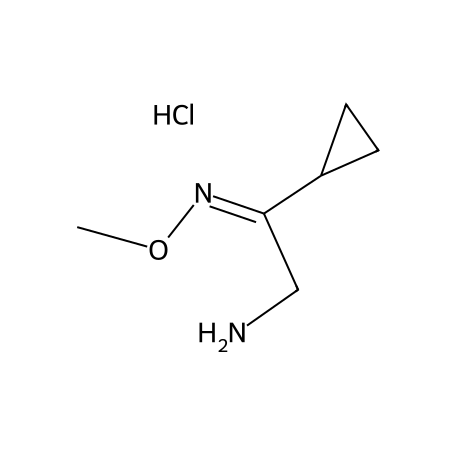 CO/N=C(\CN)C1CC1.Cl